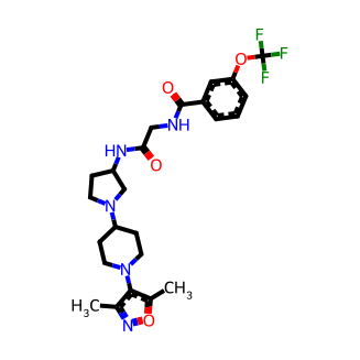 Cc1noc(C)c1N1CCC(N2CCC(NC(=O)CNC(=O)c3cccc(OC(F)(F)F)c3)C2)CC1